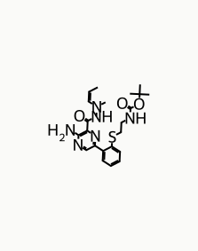 C/C=C\N(C)NC(=O)c1nc(-c2ccccc2SCCNC(=O)OC(C)(C)C)cnc1N